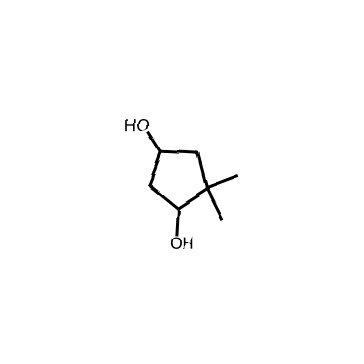 CC1(C)CC(O)CC1O